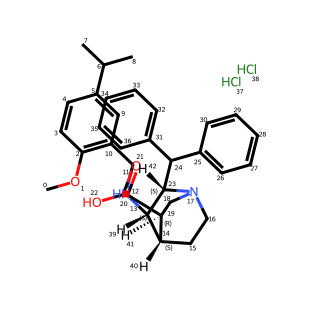 COc1ccc(C(C)C)cc1CN[C@H]1[C@H]2CCN(C[C@@H]2C(=O)O)[C@H]1C(c1ccccc1)c1ccccc1.Cl.Cl